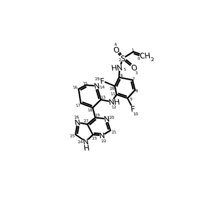 C=CS(=O)(=O)Nc1ccc(F)c(Nc2ncccc2-c2ncnc3[nH]cnc23)c1F